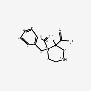 CC1(C(=O)O)CNCC[N+]1(Cc1ccccc1)C(=O)[O-]